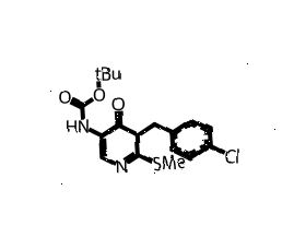 CSC1=NC=C(NC(=O)OC(C)(C)C)C(=O)C1Cc1ccc(Cl)cc1